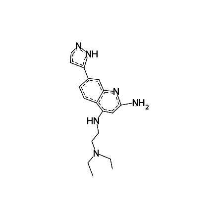 CCN(CC)CCNc1cc(N)nc2cc(-c3ccn[nH]3)ccc12